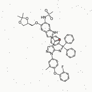 Cc1cc(-n2ncc(C(=O)c3cc4cc(OC[C@H]5COC(C)(C)O5)c(NS(C)(=O)=O)cc4[nH]3)c2N=P(c2ccccc2)(c2ccccc2)c2ccccc2)ccc1Oc1ccccc1F